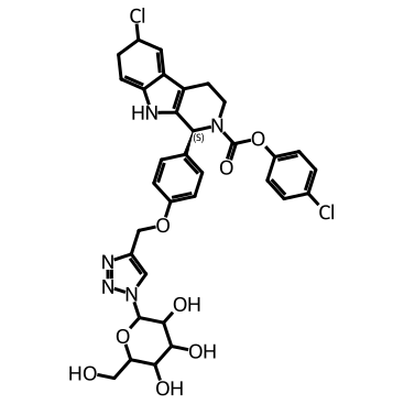 O=C(Oc1ccc(Cl)cc1)N1CCc2c([nH]c3c2=CC(Cl)CC=3)[C@@H]1c1ccc(OCc2cn(C3OC(CO)C(O)C(O)C3O)nn2)cc1